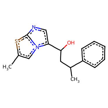 Cc1cn2c(C(O)CC(C)c3ccccc3)cnc2s1